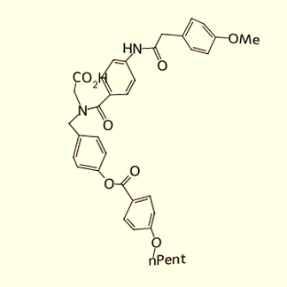 CCCCCOc1ccc(C(=O)Oc2ccc(CN(CC(=O)O)C(=O)c3ccc(NC(=O)Cc4ccc(OC)cc4)cc3)cc2)cc1